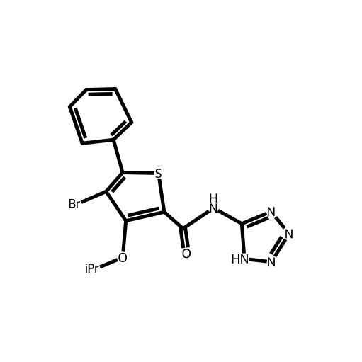 CC(C)Oc1c(C(=O)Nc2nnn[nH]2)sc(-c2ccccc2)c1Br